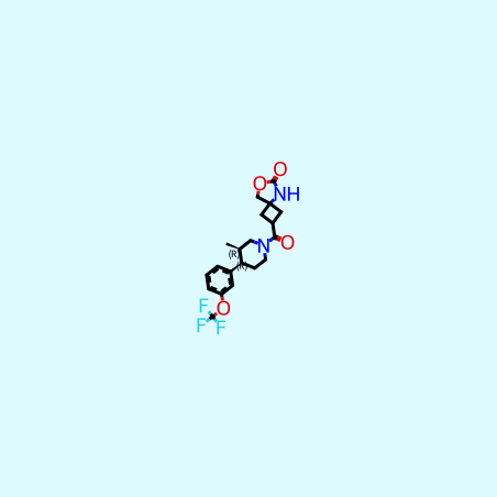 C[C@H]1CN(C(=O)C2CC3(COC(=O)N3)C2)CC[C@H]1c1cccc(OC(F)(F)F)c1